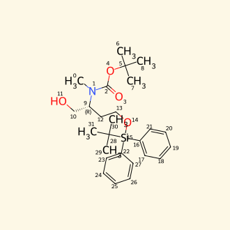 CN(C(=O)OC(C)(C)C)[C@@H](CO)CCO[Si](c1ccccc1)(c1ccccc1)C(C)(C)C